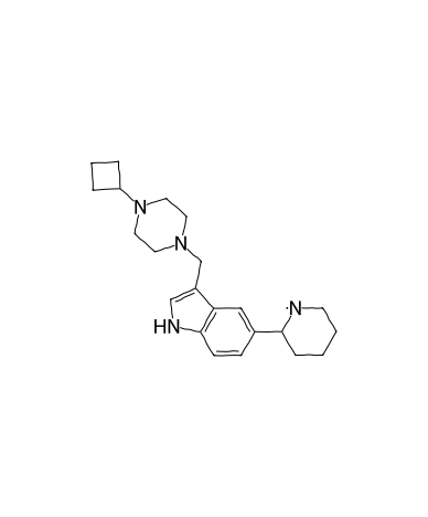 c1cc2[nH]cc(CN3CCN(C4CCC4)CC3)c2cc1C1CCCC[N]1